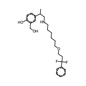 CC(CNCCCCCCOCCC(F)(F)c1ccccc1)c1ccc(O)c(CO)c1